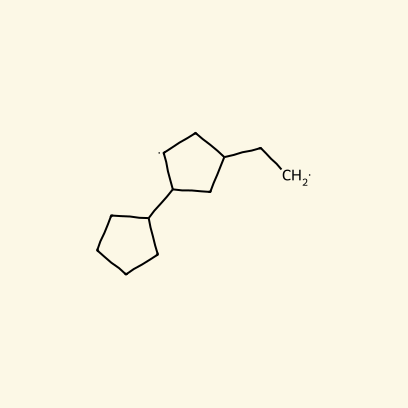 [CH2]CC1C[CH]C(C2CCCC2)C1